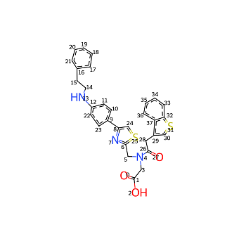 O=C(O)CN(Cc1nc(-c2ccc(NCCc3ccccc3)cc2)cs1)C(=O)Cc1csc2ccccc12